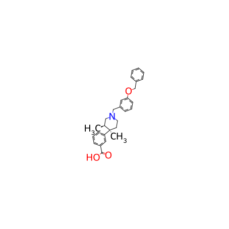 C[C@H]1CN(Cc2cccc(OCc3ccccc3)c2)CC[C@@]1(C)c1cccc(C(=O)O)c1